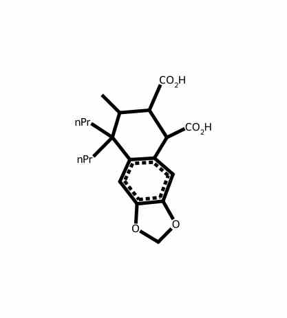 CCCC1(CCC)c2cc3c(cc2C(C(=O)O)C(C(=O)O)C1C)OCO3